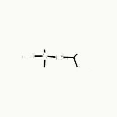 CCC(O)C(=O)[O-].CCCC[N+](CCCC)(CCCC)CCCC